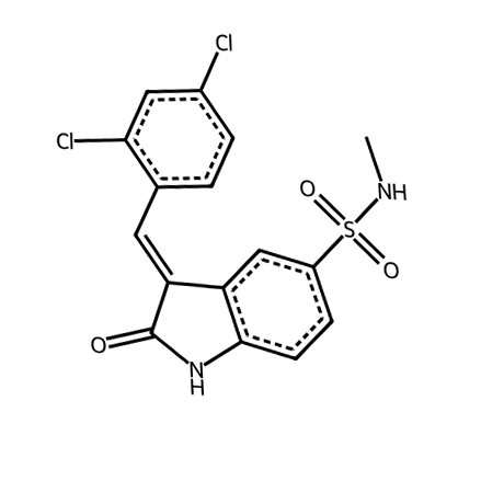 CNS(=O)(=O)c1ccc2c(c1)C(=Cc1ccc(Cl)cc1Cl)C(=O)N2